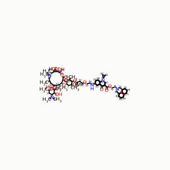 CO[C@]1(C)C[C@H](O[C@H]2[C@H](C)[C@@H](O[C@@H]3O[C@H](C)C[C@H](N(C)C)[C@H]3O)[C@](C)(O)C[C@@H](C)CN(C)[C@H](C)[C@@H](O)[C@](C)(O)[C@@H](I)OC(=O)[C@@H]2C)O[C@@H](C)[C@@H]1OC(=O)CCOCCNc1ccc2c(c1)c(=O)c(C(=O)OCCN(Cc1ccccc1)Cc1ccccc1)cn2C1CC1